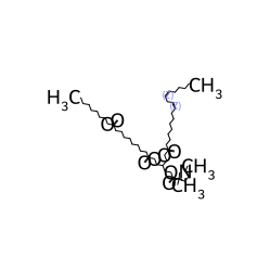 CCCCC/C=C\C/C=C\CCCCCCCC(=O)OCC(COC(=O)CCCCCCCCC(=O)OCCCCCCCC)COC(=O)C1(C)CCN(C)C1